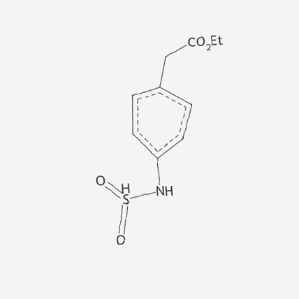 CCOC(=O)Cc1ccc(N[SH](=O)=O)cc1